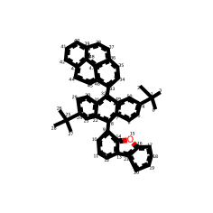 CC(C)(C)c1ccc2c(-c3cccc4c3oc3ccccc34)c3cc(C(C)(C)C)ccc3c(-c3ccc4ccc5cccc6ccc3c4c56)c2c1